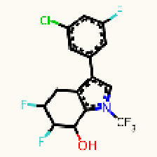 OC1c2c(c(-c3cc(F)cc(Cl)c3)cn2C(F)(F)F)CC(F)C1F